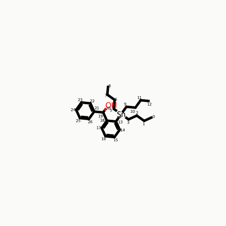 CCC[CH2][Sn]([CH2]CCC)([CH2]CCC)[c]1ccccc1C(O)c1ccccc1